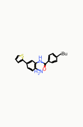 [CH2]C(CC)c1ccc(C(=O)Nc2cc(-c3cccs3)ccc2N)cc1